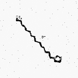 CCCCCCCCCCCCCCCC[n+]1ccsc1.[Br-]